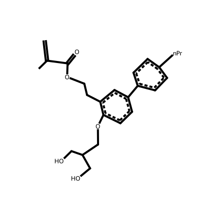 C=C(C)C(=O)OCCc1cc(-c2ccc(CCC)cc2)ccc1OCC(CO)CO